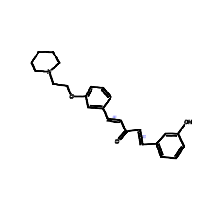 O=C(/C=C/c1cccc(O)c1)/C=C/c1cccc(OCCN2CCCCC2)c1